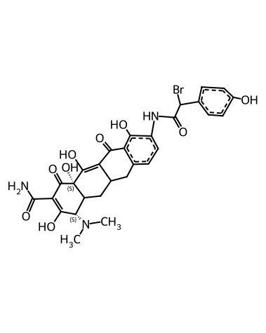 CN(C)[C@@H]1C(O)=C(C(N)=O)C(=O)[C@@]2(O)C(O)=C3C(=O)c4c(ccc(NC(=O)C(Br)c5ccc(O)cc5)c4O)CC3CC12